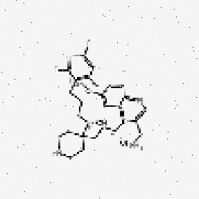 COc1ccc2ncc(CN)c([C@H](O)CCC3([C@@H](O)CCCc4c(F)cc(F)cc4F)CCNCC3)c2c1